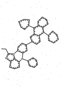 CCc1nc2cccc3c2n1-c1ccc(-c2ccc4c(-c5ccccc5)c5ccccc5c(-c5ccccc5)c4c2)cc1N3c1ccccc1